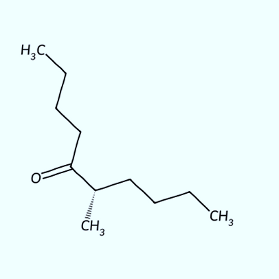 CCCCC(=O)[C@@H](C)CCCC